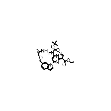 CCOC(=O)c1cnn2c(N(C)C(=O)OC(C)(C)C)cc(-n3ccc4ccc(COC[C@@H](C)N)cc43)nc12